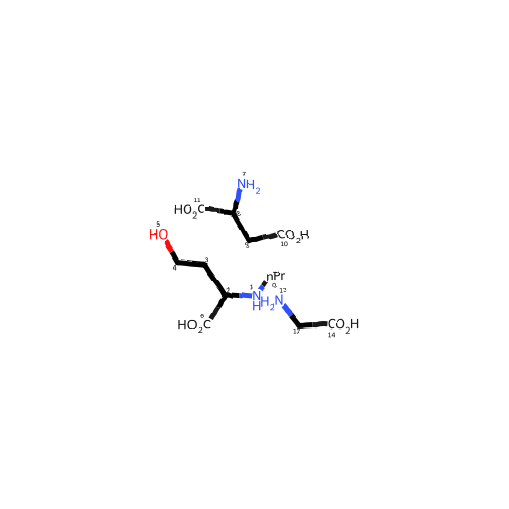 CCCNC(CCO)C(=O)O.NC(CC(=O)O)C(=O)O.NCC(=O)O